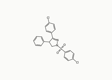 O=S(=O)(c1ccc(Cl)cc1)N1CC(c2ccccc2)C(c2ccc(Cl)cc2)=N1